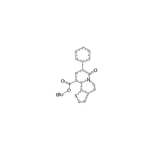 CC(C)(C)OC(=O)c1cc(-c2ccccc2)c(=O)n2ccc3ccsc3c12